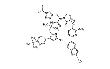 Cc1nc(-c2cnc3nc(C4CC4)cn3c2)ccc1[C@H]1C[C@@]12CCN([C@H](Cc1cnn(C(F)F)c1)C(=O)NC(C)(C)Cn1nc(C(F)(F)F)cc1-c1ccc(C(C)(C)O)nc1)C2=O